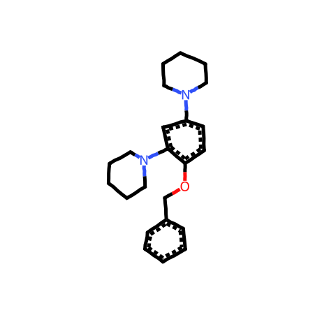 c1ccc(COc2ccc(N3CCCCC3)cc2N2CCCCC2)cc1